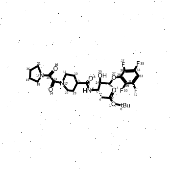 CC(C)(C)OC(=O)C[C@H](NC(=O)C1CCN(C(=O)C(=O)N2CCCC2)CC1)C(O)COc1c(F)c(F)cc(F)c1F